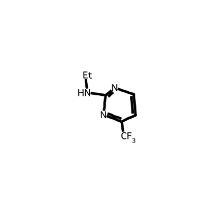 CCNc1nccc(C(F)(F)F)n1